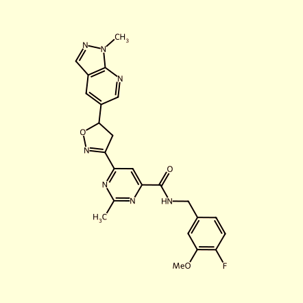 COc1cc(CNC(=O)c2cc(C3=NOC(c4cnc5c(cnn5C)c4)C3)nc(C)n2)ccc1F